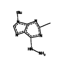 Cc1nc(NN)c2ncn(C(C)(C)C)c2n1